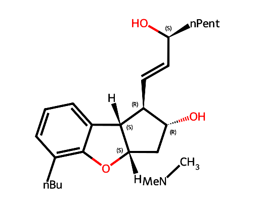 CCCCC[C@H](O)C=C[C@@H]1[C@H]2c3cccc(CCCC)c3O[C@H]2C[C@H]1O.CNC